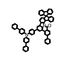 O=c1c2ccc(-c3ccccc3)cc2c2cc(-c3ccc(N(c4ccc(-c5ccccc5)cc4)c4ccc(-c5ccccc5)cc4)cc3)cc3c4ccc5c(c4n1c23)-c1ccccc1C51c2ccccc2-c2ccccc21